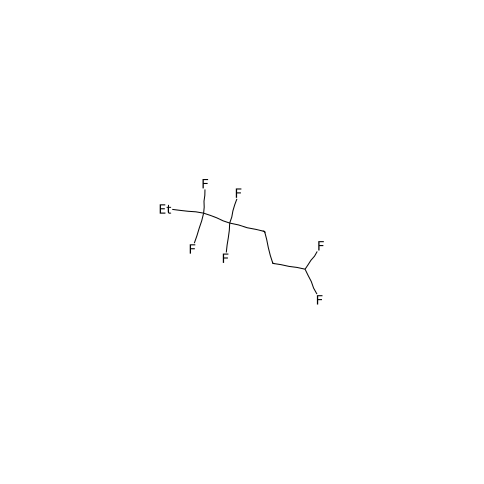 [CH2]CC(F)(F)C(F)(F)CCC(F)F